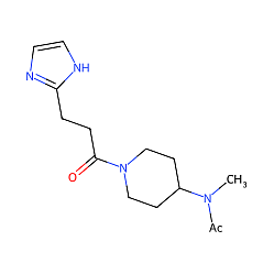 CC(=O)N(C)C1CCN(C(=O)CCc2ncc[nH]2)CC1